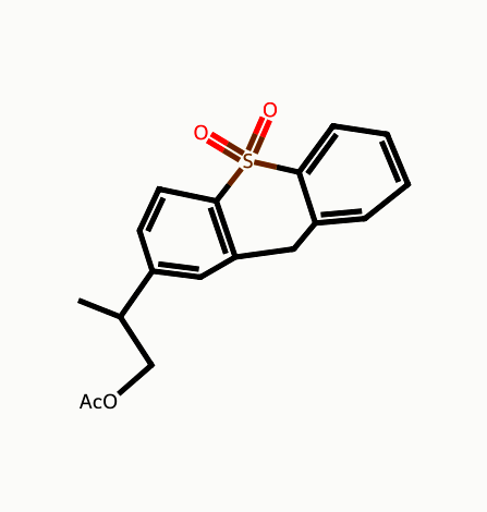 CC(=O)OCC(C)c1ccc2c(c1)Cc1ccccc1S2(=O)=O